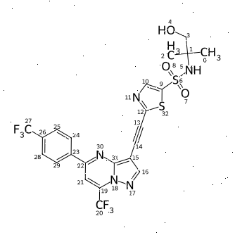 CC(C)(CO)NS(=O)(=O)c1cnc(C#Cc2cnn3c(C(F)(F)F)cc(-c4ccc(C(F)(F)F)cc4)nc23)s1